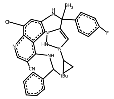 BC(Nc1cc(Cl)c2ncc(C#N)c(NC(c3ccccc3)C(C)(C)C)c2c1)(C1=CN(C2CC2)NN1)c1ccc(F)cc1